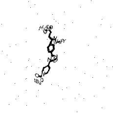 CC(C)n1nc(CCS(C)(=O)=O)c2ccc(-c3noc(C4CCN(C(=O)OC(C)(C)C)CC4)n3)cc21